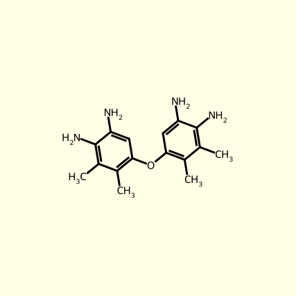 Cc1c(Oc2cc(N)c(N)c(C)c2C)cc(N)c(N)c1C